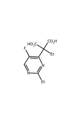 CCc1ncc(F)c(C(CC)(C(=O)O)C(=O)O)n1